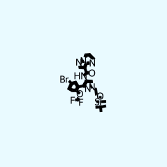 CC(C)(C)[Si](C)(C)OCCn1cc(NC(=O)c2cnn3cccnc23)c(-c2cc(Br)ccc2OC(F)F)n1